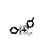 CCCCC(Oc1ccc(C)cc1)(C(=O)O)S(=O)(=O)c1ccccc1